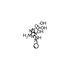 Nc1nc(NN=CC2CC=CCC2)nc2c1ncn2[C@@H]1O[C@H](CO)C(O)C1O